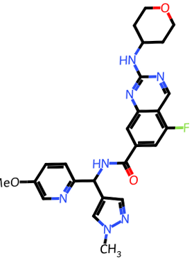 COc1ccc(C(NC(=O)c2cc(F)c3cnc(NC4CCOCC4)nc3c2)c2cnn(C)c2)nc1